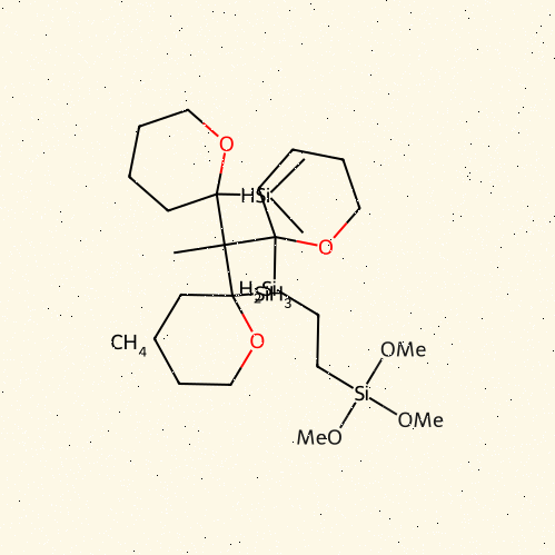 C.CO[Si](CC[SiH2]C1(C(C)(C2([SiH3])CCCCO2)C2([SiH](C)C)CCCCO2)CCCCO1)(OC)OC